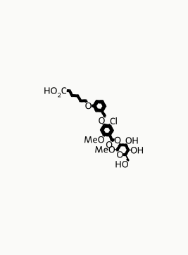 COc1cc(OCc2cccc(OCCCCCC(=O)O)c2)c(Cl)cc1C(=O)O[C@H]1[C@@H](OC)O[C@H](CO)[C@@H](O)[C@@H]1O